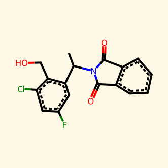 CC(c1cc(F)cc(Cl)c1CO)N1C(=O)c2ccccc2C1=O